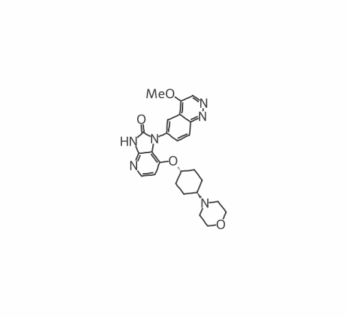 COc1cnnc2ccc(-n3c(=O)[nH]c4nccc(O[C@H]5CC[C@H](N6CCOCC6)CC5)c43)cc12